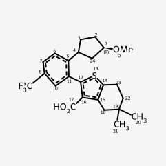 CO[C@@H]1CCC(c2ccc(C(F)(F)F)cc2-c2sc3c(c2C(=O)O)CC(C)(C)CC3)C1